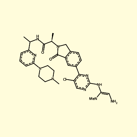 CN/C(=C\N)Nc1ncc(Cl)c(-c2ccc3c(c2)C(=O)N([C@H](C)C(=O)NC(C)c2cccc(N4CCN(C)CC4)n2)C3)n1